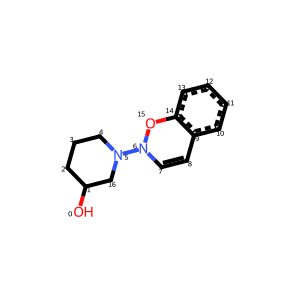 OC1CCCN(N2C=Cc3ccccc3O2)C1